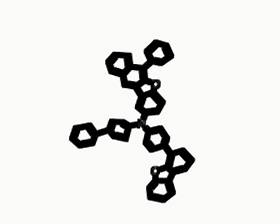 c1ccc(-c2ccc(N(c3ccc(-c4cccc5c4oc4ccccc45)cc3)c3ccc4oc5c(-c6ccccc6)c6ccccc6cc5c4c3)cc2)cc1